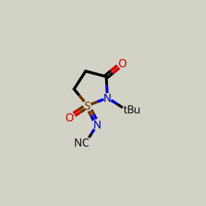 CC(C)(C)N1C(=O)CCS1(=O)=NC#N